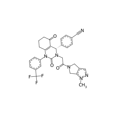 Cn1ncc2c1CN(C(=O)CN1C(=O)N(c3cccc(C(F)(F)F)c3)C3=C(C(=O)CCC3)[C@@H]1c1ccc(C#N)cc1)C2